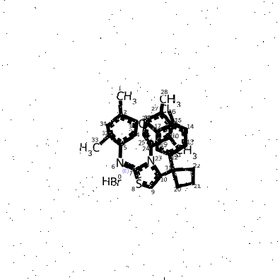 Br.Cc1ccc(/N=c2/scc(C3(c4ccc(Cl)c(Cl)c4)CCC3)n2-c2ccc(C)cc2C)c(C)c1